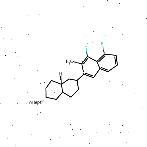 CCCCCCC[C@@H]1CC[C@@H]2CC(c3cc4cccc(F)c4c(F)c3C(F)(F)F)CCC2C1